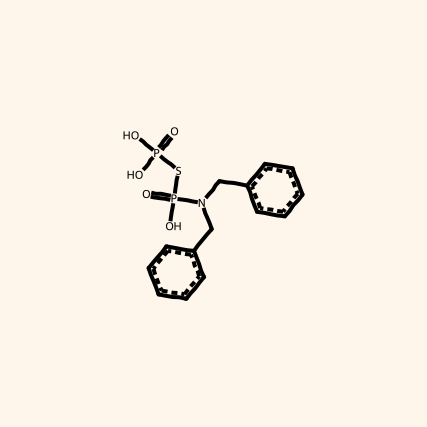 O=P(O)(O)SP(=O)(O)N(Cc1ccccc1)Cc1ccccc1